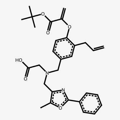 C=CCc1cc(CN(CC(=O)O)Cc2nc(-c3ccccc3)oc2C)ccc1OC(=C)C(=O)OC(C)(C)C